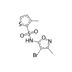 Cc1ccsc1S(=O)(=O)Nc1onc(C)c1Br